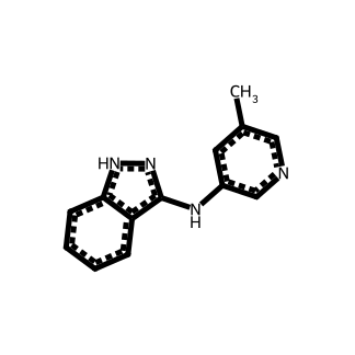 Cc1cncc(Nc2n[nH]c3ccccc23)c1